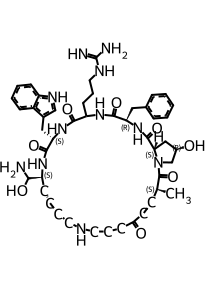 C[C@H]1CCC(=O)CCCNCCCC[C@@H](C(N)O)NC(=O)[C@H](Cc2c[nH]c3ccccc23)NC(=O)C(CCCNC(=N)N)NC(=O)[C@@H](Cc2ccccc2)NC(=O)[C@@H]2C[C@@H](O)CN2C1=O